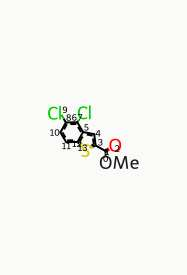 COC(=O)c1cc2c(Cl)c(Cl)ccc2s1